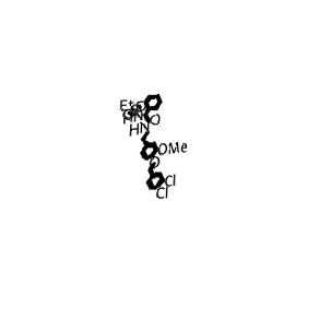 CCS(=O)(=O)N[C@@H](C(=O)NCCc1ccc(OCc2ccc(Cl)c(Cl)c2)c(OC)c1)C1CCCCC1